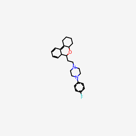 Fc1ccc(N2CCN(CCC3OC4CCCCC4=C4C=CC=CC43)CC2)cc1